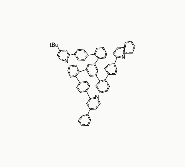 CC(C)(C)c1ccnc(-c2ccc(-c3ccccc3-c3cc(-c4ccccc4-c4ccc(-c5cc(-c6ccccc6)ccn5)cc4)cc(-c4ccccc4-c4ccc(-c5ccc6ccccc6n5)cc4)c3)cc2)c1